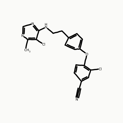 Cc1ncnc(NCCc2ccc(Oc3ccc(C#N)cc3Cl)cc2)c1Cl